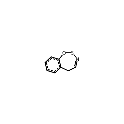 [C]1=NSOc2ccccc2C1